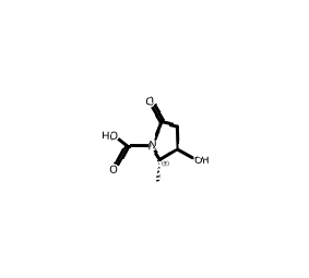 C[C@H]1C(O)CC(=O)N1C(=O)O